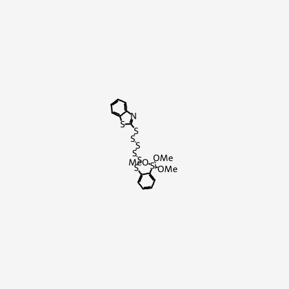 CO[Si](OC)(OC)c1ccccc1SSSSSSc1nc2ccccc2s1